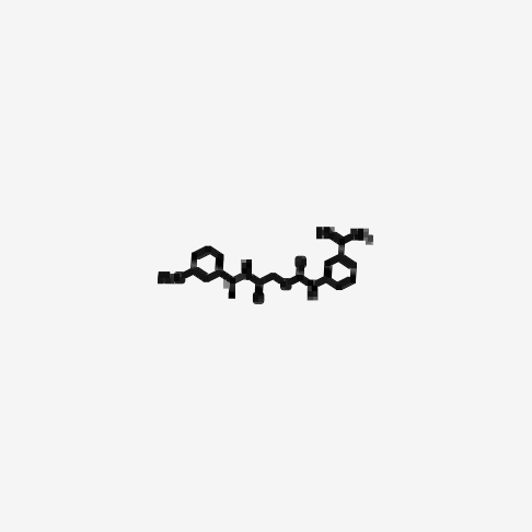 COc1cccc([C@H](C)NC(=O)COC(=O)Nc2cccc(C(=N)N)c2)c1